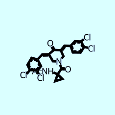 CC(=O)NC1(C(=O)N2C/C(=C\c3ccc(Cl)c(Cl)c3)C(=O)/C(=C/c3ccc(Cl)c(Cl)c3)C2)CC1